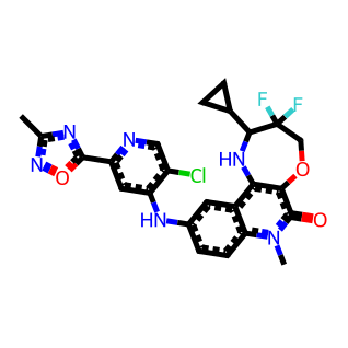 Cc1noc(-c2cc(Nc3ccc4c(c3)c3c(c(=O)n4C)OCC(F)(F)C(C4CC4)N3)c(Cl)cn2)n1